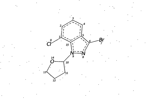 Clc1cccc2c(Br)nn(C3CCCO3)c12